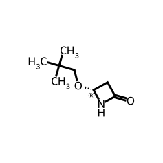 CC(C)(C)CO[C@@H]1CC(=O)N1